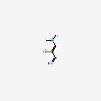 CN(C)/C=C(\Cl)C=N